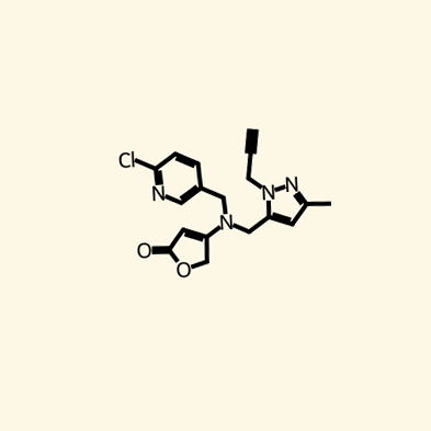 C#CCn1nc(C)cc1CN(Cc1ccc(Cl)nc1)C1=CC(=O)OC1